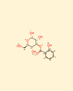 O=C(O[C@@H]1[C@@H](O)[C@@H](O)O[C@H](CO)[C@H]1O)c1ccccc1O